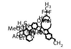 C=Cc1ccc2[nH]c3c(c2c1)CC[N@]1C[C@@H](C[C@@H](C(C)(F)F)C1)C[C@]3(C(=O)OC)c1cc2c(cc1OC)N(C)[C@H]1[C@@](O)(C(=O)OC)[C@H](OC(C)=O)[C@]3(CC)C=CCN4CC[C@]21[C@@H]43